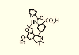 CCOc1cc2c(c3c1OC(C)(C)C3)C(c1ccc(CC(=O)O)c(NC(=O)c3ccccn3)c1)=NC(C)(C)C2